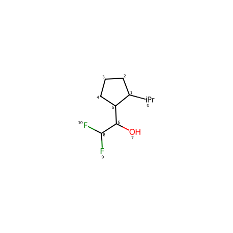 CC(C)C1CCCC1C(O)C(F)F